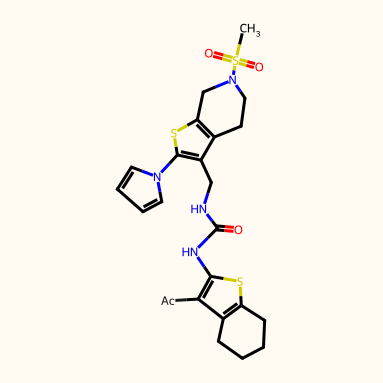 CC(=O)c1c(NC(=O)NCc2c(-n3cccc3)sc3c2CCN(S(C)(=O)=O)C3)sc2c1CCCC2